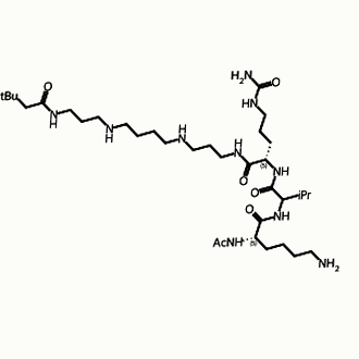 CC(=O)N[C@@H](CCCCN)C(=O)NC(C(=O)N[C@@H](CCCNC(N)=O)C(=O)NCCCNCCCCNCCCNC(=O)CC(C)(C)C)C(C)C